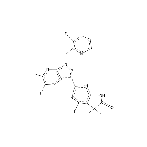 Cc1nc2c(cc1F)c(-c1nc(I)c3c(n1)NC(=O)C3(C)C)nn2Cc1ncccc1F